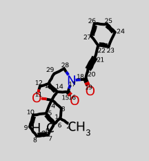 CC(C)CC1(c2ccccc2)OCC2=C1C(=O)N(C(=O)C#Cc1ccccc1)CC2